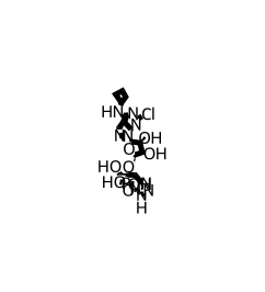 O=P(O)(O)[C@@](CO)(Cc1nn[nH]n1)OC[C@@H]1O[C@H](n2ncc3c(NC4CCC4)nc(Cl)nc32)[C@@H](O)[C@H]1O